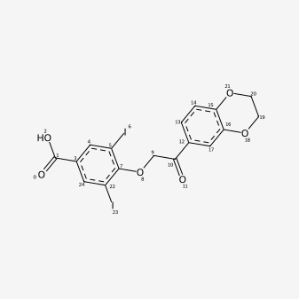 O=C(O)c1cc(I)c(OCC(=O)c2ccc3c(c2)OCCO3)c(I)c1